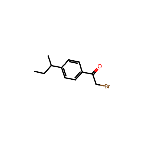 CCC(C)c1ccc(C(=O)CBr)cc1